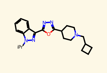 CC(C)n1nc(-c2nnc(C3CCN(CC4CCC4)CC3)o2)c2ccccc21